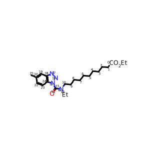 CCOC(=O)CCCCCCCCCCN(CC)C(=O)n1nnc2cc(C)ccc21